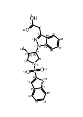 O=C(O)Cc1nn([C@H]2CN(S(=O)(=O)c3cc4ccccc4s3)C[C@H]2I)c2ccccc12